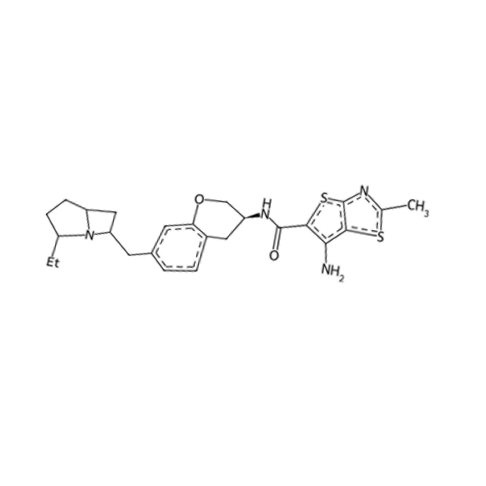 CCC1CCC2CC(Cc3ccc4c(c3)OC[C@@H](NC(=O)c3sc5nc(C)sc5c3N)C4)N12